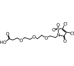 O=C(O)CCOCCOCCOCCN1C(=O)C(Cl)=C(Cl)S1(=O)=O